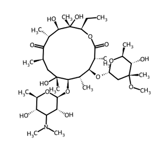 CC[C@H]1OC(=O)[C@H](C)[C@@H](O[C@H]2C[C@@](C)(OC)[C@@H](O)[C@H](C)O2)[C@H](C)[C@@H](O[C@@H]2O[C@H](C)[C@@H](O)C(N(C)C)[C@H]2O)[C@](C)(O)C[C@@H](C)C(=O)[C@H](C)[C@@H](O)[C@]1(C)O